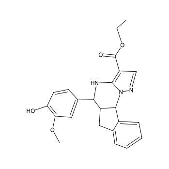 CCOC(=O)c1cnn2c1NC(c1ccc(O)c(OC)c1)C1Cc3ccccc3C12